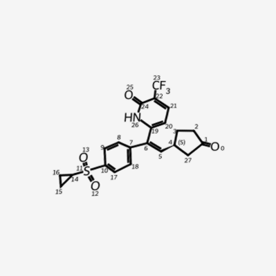 O=C1CC[C@H](C=C(c2ccc(S(=O)(=O)C3CC3)cc2)c2ccc(C(F)(F)F)c(=O)[nH]2)C1